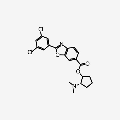 CN(C)[C@H]1CCC[C@@H]1OC(=O)c1ccc2nc(-c3cc(Cl)cc(Cl)c3)oc2c1